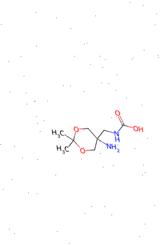 CC1(C)OCC(N)(CNC(=O)O)CO1